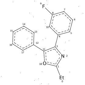 CCc1nc(-c2cccc(F)c2)c(-c2ccccc2)o1